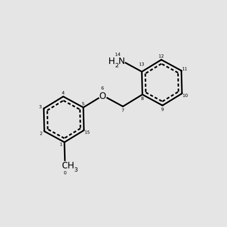 Cc1cccc(OCc2ccccc2N)c1